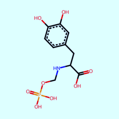 O=C(O)C(Cc1ccc(O)c(O)c1)NCOP(=O)(O)O